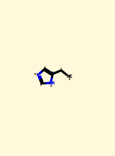 [C-]#[N+]Cc1cnc[nH]1